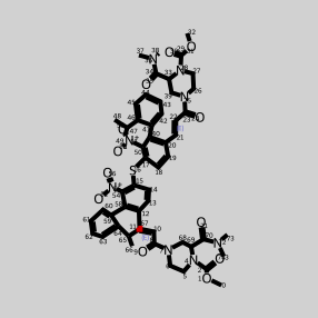 COC(=O)N1CCN(C(=O)/C=C/c2ccc(Sc3ccc(/C=C/C(=O)N4CCN(C(=O)OC)C(C(=O)N(C)C)C4)c(-c4ccccc4C(C)C)c3[N+](=O)[O-])c([N+](=O)[O-])c2-c2ccccc2C(C)C)CC1C(=O)N(C)C